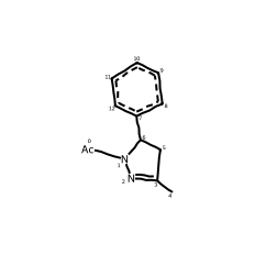 CC(=O)N1N=C(C)CC1c1ccccc1